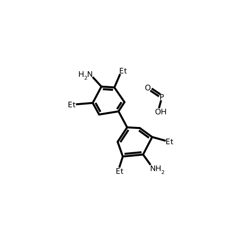 CCc1cc(-c2cc(CC)c(N)c(CC)c2)cc(CC)c1N.O=PO